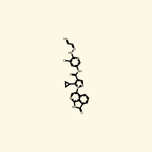 N=C/C=N\Nc1ncc(NC(=O)c2cnn(-c3cnc4c5c(cccc35)C(=O)N4)c2C2CC2)cc1Cl